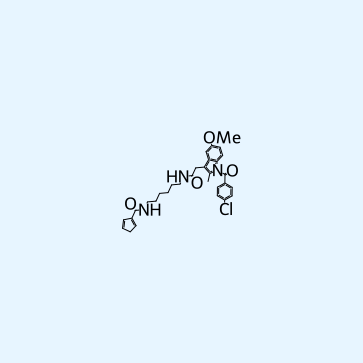 COc1ccc2c(c1)c(CC(=O)NCCCCCCNC(=O)C1=CCC=C1)c(C)n2C(=O)c1ccc(Cl)cc1